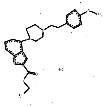 CCOC(=O)c1cc2c(N3CCN(CCc4ccc(OC)cc4)CC3)cccc2s1.Cl